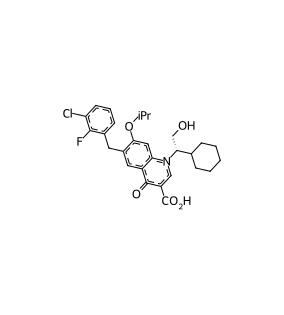 CC(C)Oc1cc2c(cc1Cc1cccc(Cl)c1F)c(=O)c(C(=O)O)cn2[C@H](CO)C1CCCCC1